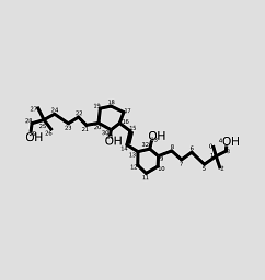 CC(C)(CO)CCCCC1CCCC(C=CC2CCCC(CCCCC(C)(C)CO)C2O)C1O